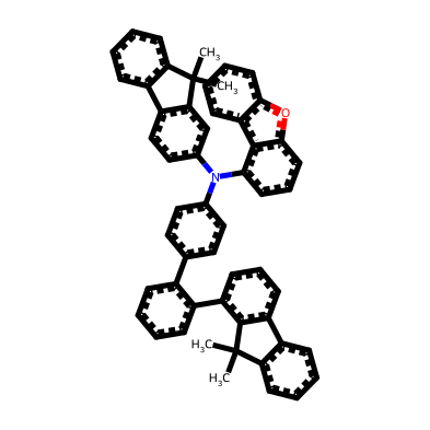 CC1(C)c2ccccc2-c2ccc(N(c3ccc(-c4ccccc4-c4cccc5c4C(C)(C)c4ccccc4-5)cc3)c3cccc4oc5ccccc5c34)cc21